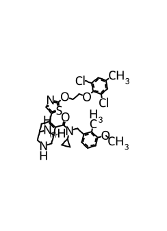 COc1cccc(CN(C(=O)C2=C(c3cnc(OCCOc4c(Cl)cc(C)cc4Cl)s3)CC3CNC[C@H]2N3)C2CC2)c1C